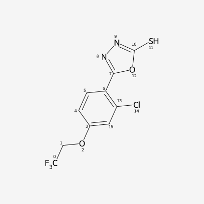 FC(F)(F)COc1ccc(-c2nnc(S)o2)c(Cl)c1